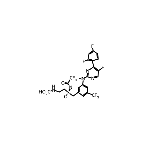 O=C(O)NCCS(=O)(Cc1cc(Nc2ncc(F)c(-c3ccc(F)cc3F)n2)cc(C(F)(F)F)c1)=NC(=O)C(F)(F)F